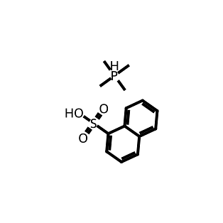 C[PH](C)(C)C.O=S(=O)(O)c1cccc2ccccc12